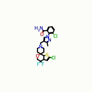 Cc1nn(-c2c(Cl)cccc2C(N)=O)cc1CN1CCC2(CC1)OCC(F)(F)C1C=C(Cl)SC12